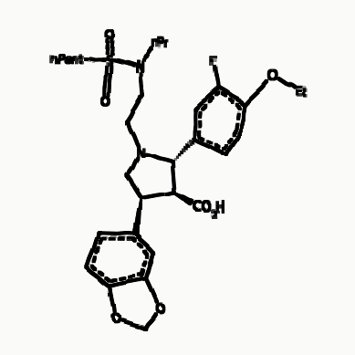 CCCCCS(=O)(=O)N(CCC)CCN1C[C@H](c2ccc3c(c2)OCO3)[C@H](C(=O)O)[C@H]1c1ccc(OCC)c(F)c1